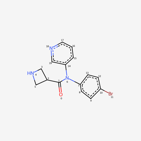 O=C(C1CNC1)N(c1ccc(Br)cc1)c1cccnc1